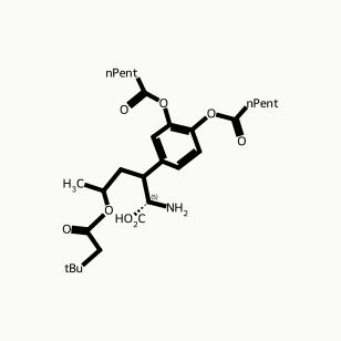 CCCCCC(=O)Oc1ccc(C(CC(C)OC(=O)CC(C)(C)C)[C@H](N)C(=O)O)cc1OC(=O)CCCCC